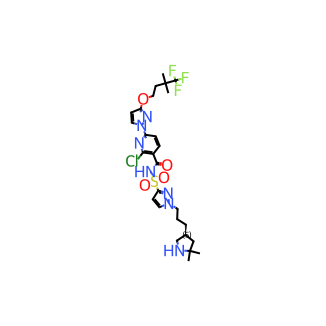 CC1(C)C[C@H](CCCn2ccc(S(=O)(=O)NC(=O)c3ccc(-n4ccc(OCCC(C)(C)C(F)(F)F)n4)nc3Cl)n2)CN1